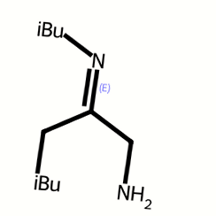 CCC(C)C/C(CN)=N\C(C)CC